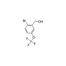 O[CH]c1cc(OC(F)(F)F)ccc1Br